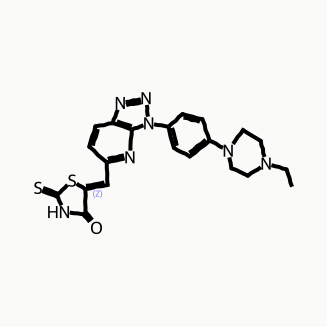 CCN1CCN(c2ccc(-n3nnc4ccc(/C=C5\SC(=S)NC5=O)nc43)cc2)CC1